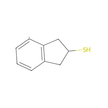 SC1Cc2[c]cccc2C1